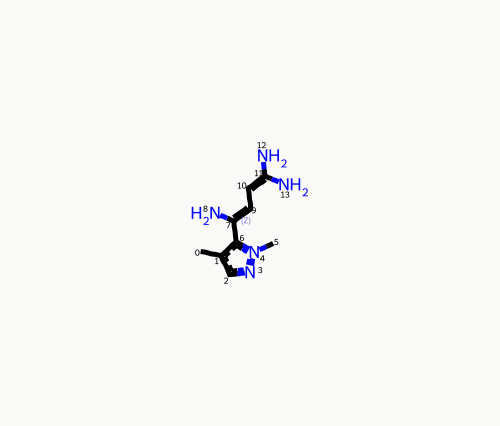 Cc1cnn(C)c1/C(N)=C/C=C(N)N